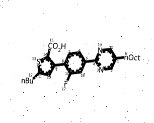 CCCCCCCCc1cnc(-c2ccc(-c3cc(CCCC)sc3C(=O)O)c(F)c2)nc1